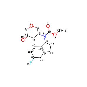 CC(C)(C)OC(=O)N(C1COCC(=O)C1)C1CCC2=C1C=CC(F)C2